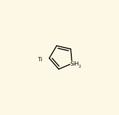 C1=C[SiH2]C=C1.[Ti]